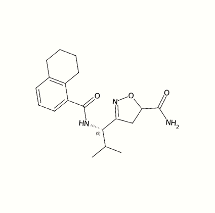 CC(C)[C@H](NC(=O)c1cccc2c1CCCC2)C1=NOC(C(N)=O)C1